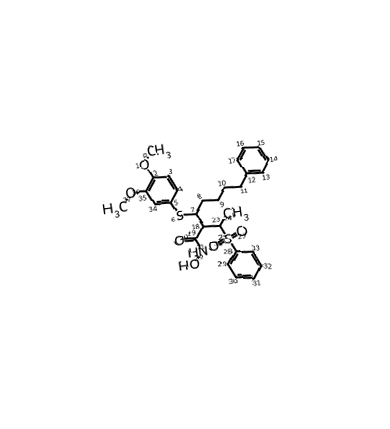 COc1ccc(SC(CCCCc2ccccc2)C(C(=O)NO)C(C)S(=O)(=O)c2ccccc2)cc1OC